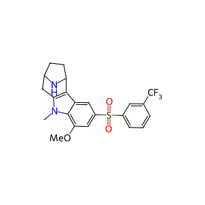 COc1cc(S(=O)(=O)c2cccc(C(F)(F)F)c2)cc2c3c(n(C)c12)CC1CCC3N1